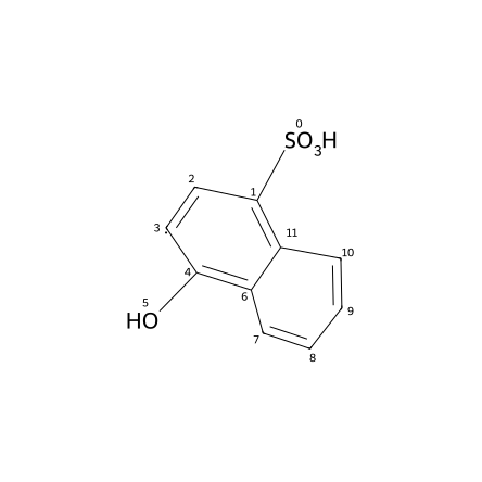 O=S(=O)(O)c1c[c]c(O)c2ccccc12